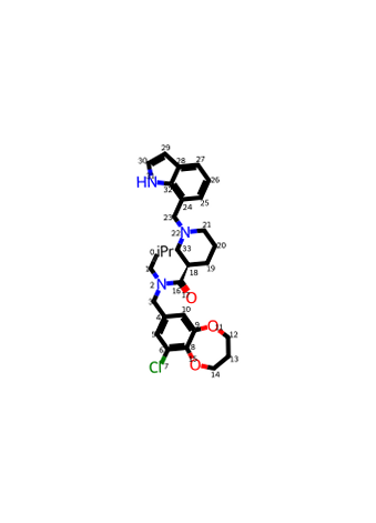 CC(C)CN(Cc1cc(Cl)c2c(c1)OCCCO2)C(=O)[C@@H]1CCCN(Cc2cccc3cc[nH]c23)C1